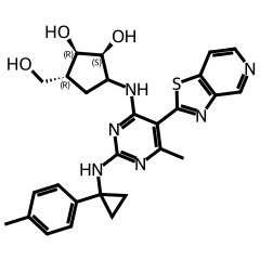 Cc1ccc(C2(Nc3nc(C)c(-c4nc5cnccc5s4)c(NC4C[C@H](CO)[C@@H](O)[C@H]4O)n3)CC2)cc1